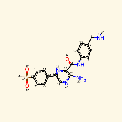 CNCc1ccc(NC(=O)c2nc(-c3ccc(S(C)(=O)=O)cc3)cnc2N)cc1